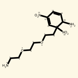 NCCOCCOCCC1([N+](=O)[O-])C=C([N+](=O)[O-])C=CC1N